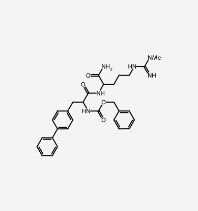 CNC(=N)NCCCC(NC(=O)C(Cc1ccc(-c2ccccc2)cc1)NC(=O)OCc1ccccc1)C(N)=O